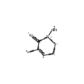 CCCN1CCC=C(C)C1=O